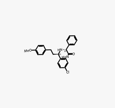 CNC(=O)[C@H](N[C@H](CCc1ccc(OC)cc1)c1ccc(Cl)cc1)c1ccccc1